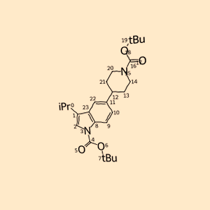 CC(C)c1cn(C(=O)OC(C)(C)C)c2ccc(C3CCN(C(=O)OC(C)(C)C)CC3)cc12